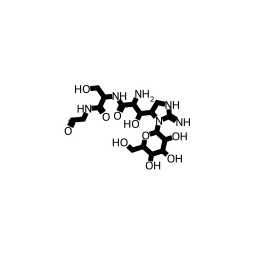 N=C1NCC(C(O)C(N)C(=O)NC(CO)C(=O)NC[C]=O)N1C1OC(CO)C(O)C(O)C1O